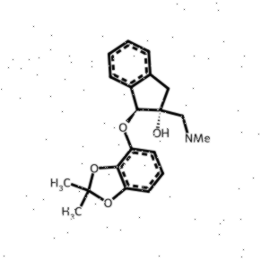 CNC[C@]1(O)Cc2ccccc2[C@@H]1Oc1cccc2c1OC(C)(C)O2